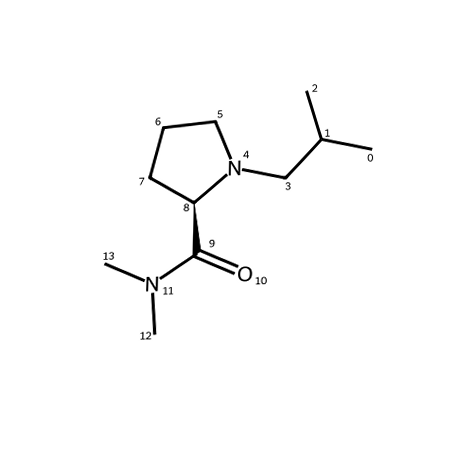 CC(C)CN1CCC[C@@H]1C(=O)N(C)C